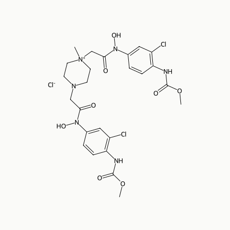 COC(=O)Nc1ccc(N(O)C(=O)CN2CC[N+](C)(CC(=O)N(O)c3ccc(NC(=O)OC)c(Cl)c3)CC2)cc1Cl.[Cl-]